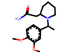 COc1ccc(C(C)N2CCCCC2CC(N)=O)cc1OC